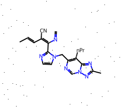 C=NC(=C(C#N)C=CC)c1nccn1Cc1ncn2nc(C)nc2c1CCC